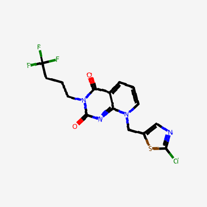 O=c1nc2n(Cc3cnc(Cl)s3)cccc-2c(=O)n1CCCC(F)(F)F